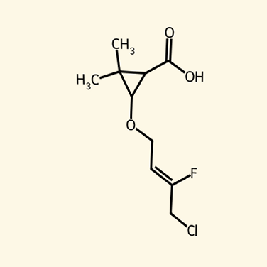 CC1(C)C(OCC=C(F)CCl)C1C(=O)O